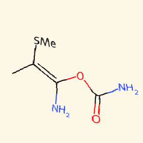 CSC(C)=C(N)OC(N)=O